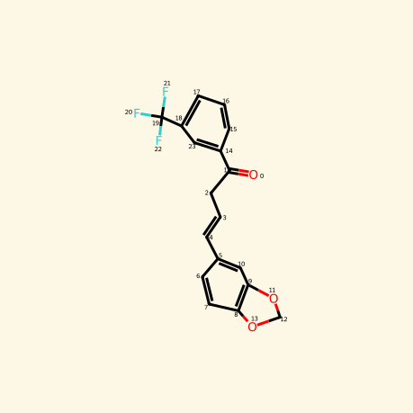 O=C(CC=Cc1ccc2c(c1)OCO2)c1cccc(C(F)(F)F)c1